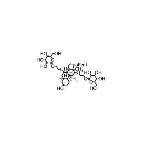 CCC[C@@H](C)[C@H]1CC[C@H]2[C@@H]3[C@H](OCCO[C@@H]4OC(CO)[C@@H](O)C(O)[C@@H]4O)C[C@@H]4C[C@H](O)CC[C@]4(C)[C@H]3C[C@H](OCCO[C@@H]3OC(CO)[C@@H](O)C(O)C3O)[C@]12C